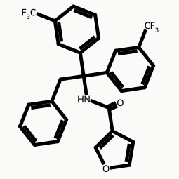 O=C(NC(Cc1ccccc1)(c1cccc(C(F)(F)F)c1)c1cccc(C(F)(F)F)c1)c1ccoc1